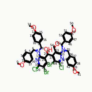 COc1ccc(CN(Cc2ccc(OC)cc2)c2nc(Cl)c(Br)cc2C(O)c2c(Br)c(Cl)nc(N(Cc3ccc(OC)cc3)Cc3ccc(OC)cc3)c2C=O)cc1